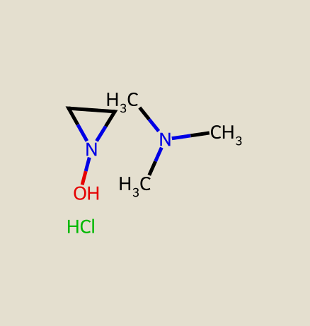 CN(C)C.Cl.ON1CC1